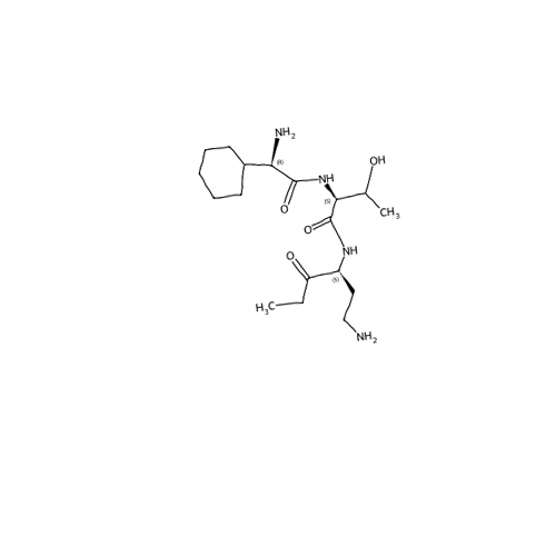 CCC(=O)[C@H](CCN)NC(=O)[C@@H](NC(=O)[C@H](N)C1CCCCC1)C(C)O